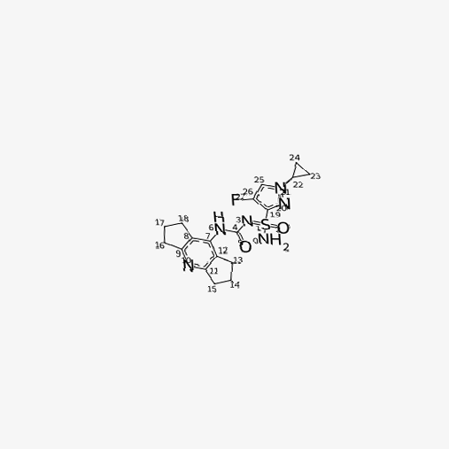 NS(=O)(=NC(=O)Nc1c2c(nc3c1CCC3)CCC2)c1nn(C2CC2)cc1F